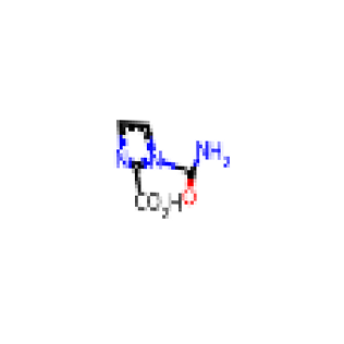 NC(=O)n1ccnc1C(=O)O